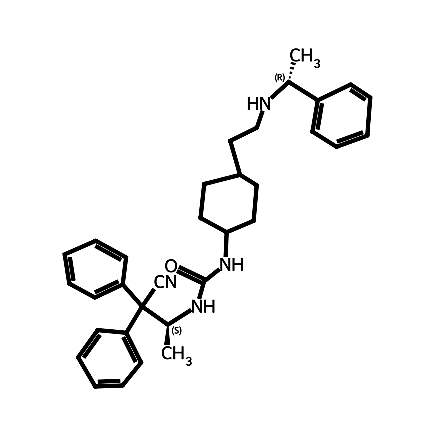 C[C@H](NC(=O)NC1CCC(CCN[C@H](C)c2ccccc2)CC1)C(C#N)(c1ccccc1)c1ccccc1